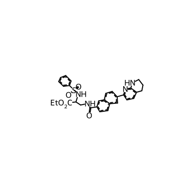 CCOC(=O)C(CNC(=O)c1ccc2cc(-c3ccc4c(n3)NCCC4)ccc2c1)NS(=O)(=O)c1ccccc1